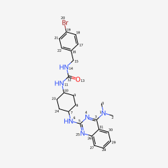 CN(C)c1nc(NC2CCC(NC(=O)NCc3ccc(Br)cc3)CC2)nc2ccccc12